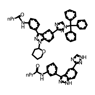 CCCC(=O)Nc1cccc(-c2n[nH]c3ccc(-c4nc[nH]n4)cc23)c1.CCCC(=O)Nc1cccc(-c2nn(C3CCCCO3)c3ccc(-c4ncn(C(c5ccccc5)(c5ccccc5)c5ccccc5)n4)cc23)c1